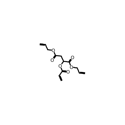 C=CCOC(=O)CC(OC(=O)C=C)C(=O)OCC=C